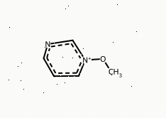 CO[n+]1cccnc1